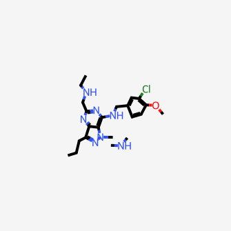 CCCc1nn(C)c2c(NCc3ccc(OC)c(Cl)c3)nc(CNCC)nc12.CNC